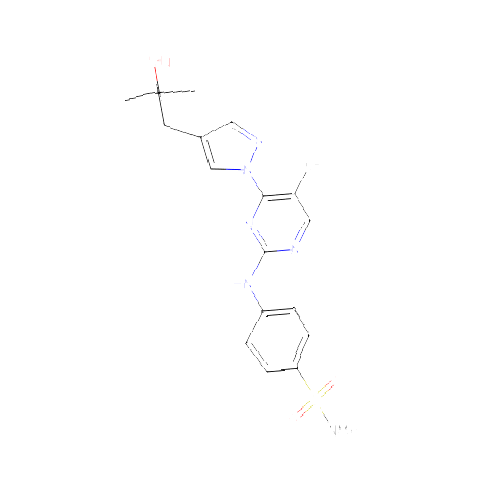 CNS(=O)(=O)c1ccc(Nc2ncc(C(F)(F)F)c(-n3cc(CC(C)(C)O)cn3)n2)cc1